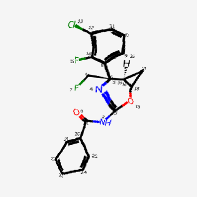 O=C(NC1=N[C@](CF)(c2cccc(Cl)c2F)[C@H]2CC2O1)c1ccccc1